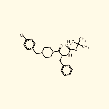 CC(C)(C)OC(=O)N[C@@H](Cc1ccccc1)C(=O)N1CCN(Cc2ccc(Cl)cc2)CC1